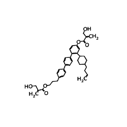 C=CCCC1CCC(c2cc(OC(=O)C(=C)CO)ccc2-c2ccc(-c3ccc(CCCOC(=O)C(=C)CO)cc3)cc2)CC1